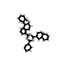 c1ccc(-c2nc(-c3ccc4ccccc4c3)nc(-c3cccc4c3ccc3sc5ccccc5c34)n2)cc1